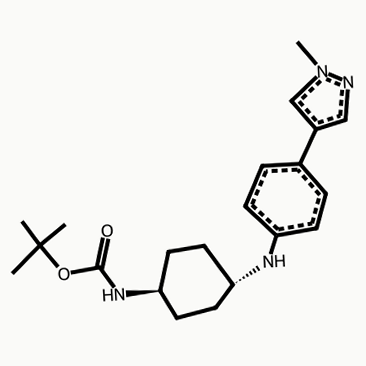 Cn1cc(-c2ccc(N[C@H]3CC[C@H](NC(=O)OC(C)(C)C)CC3)cc2)cn1